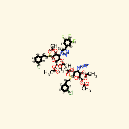 CC(=O)OC[C@H]1O[C@H](SCCc2cccc(Cl)c2)[C@H](OC(C)=O)[C@@H](N=[N+]=[N-])[C@H]1OC(C)=O.CC(=O)OC[C@H]1O[C@H](SCCc2cccc(Cl)c2)[C@H](OC(C)=O)[C@@H](n2cc(-c3cc(F)c(F)c(F)c3)nn2)[C@H]1OC(C)=O